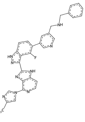 Cc1cn(-c2nccc3[nH]c(-c4n[nH]c5ccc(-c6cncc(CNCc7ccccc7)c6)c(F)c45)nc23)cn1